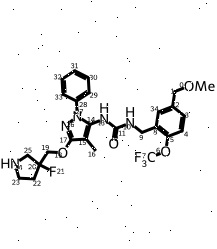 COCc1ccc(OC(F)(F)F)c(CNC(=O)Nc2c(C)c(OCC3(F)CCNC3)nn2-c2ccccc2)c1